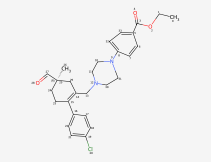 CCOC(=O)c1ccc(N2CCN(CC3=C(c4ccc(Cl)cc4)CC[C@@](C)(C=O)C3)CC2)cc1